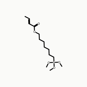 CC=CC(=O)OCCCCCCC[Si](OC)(OC)OC